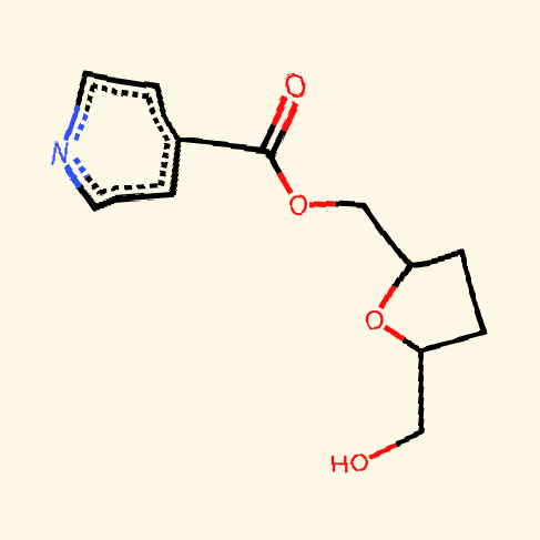 O=C(OCC1CCC(CO)O1)c1ccncc1